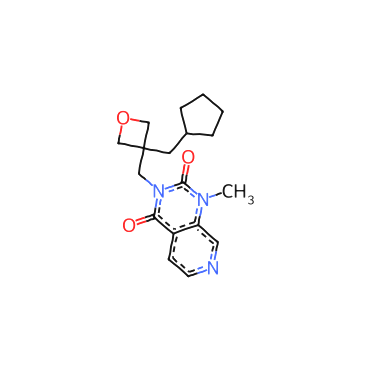 Cn1c(=O)n(CC2(CC3CCCC3)COC2)c(=O)c2ccncc21